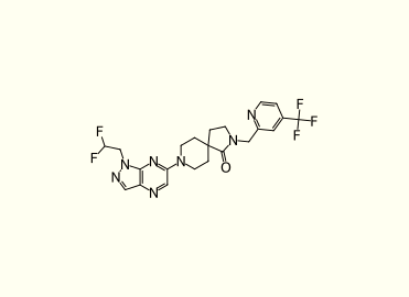 O=C1N(Cc2cc(C(F)(F)F)ccn2)CCC12CCN(c1cnc3cnn(CC(F)F)c3n1)CC2